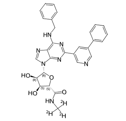 [2H]C([2H])([2H])NC(=O)[C@H]1O[C@@H](n2cnc3c(NCc4ccccc4)nc(-c4cncc(-c5ccccc5)c4)nc32)[C@H](O)[C@@H]1O